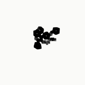 COc1cc(C(=C(C(=O)O)C(=O)c2ccccc2)c2cccc3ccccc23)ccc1OCc1ccccc1